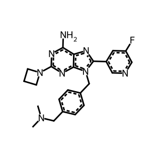 CN(C)Cc1ccc(Cn2c(-c3cncc(F)c3)nc3c(N)nc(N4CCC4)nc32)cc1